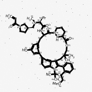 C=CC(=O)N1CC[C@H](CN(C)[C@H](C(=O)NC2Cc3cc(O)cc(c3)-c3ccc4c(c3)c(c(-c3ccccc3CCOC)n4C(C)(C)C#N)CC(C)(C)COC(=O)[C@@H]3CCCN(N3)C2=O)C(C)C)C1